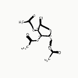 CC(=O)OC[C@H]1OC(Cl)[C@H](OC(C)=O)[C@@H]1OC(C)=O